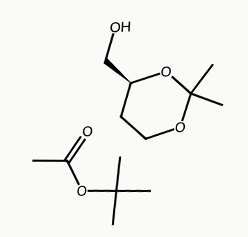 CC(=O)OC(C)(C)C.CC1(C)OCC[C@@H](CO)O1